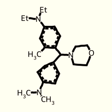 CCN(CC)c1ccc(C(c2ccc(N(C)C)cc2)N2CCOCC2)c(C)c1